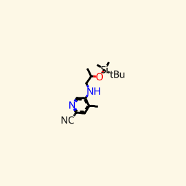 Cc1cc(C#N)ncc1NCC(C)O[Si](C)(C)C(C)(C)C